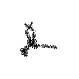 CCCCCCCC/C=C\CCCCCCCC(=O)OCC(COC(=O)CCCCCCC/C=C\CCCCCCCC)(COC(=O)CCCCCCCCCCCCCCCCC)NC(=O)CCN1CCC(n2c(=O)oc3ccccc32)CC1